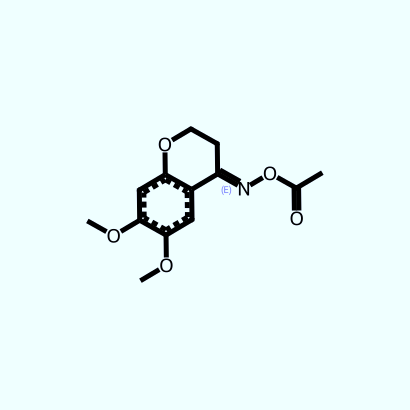 COc1cc2c(cc1OC)/C(=N/OC(C)=O)CCO2